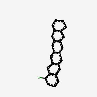 Clc1cccc2cc3cc4cc5cc6ccccc6cc5cc4cc3cc12